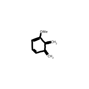 C=c1cccc(OC)c1=C